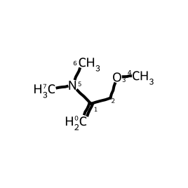 C=C(COC)N(C)C